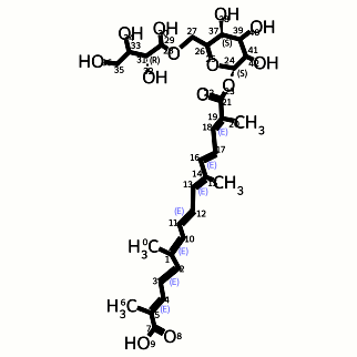 CC(/C=C/C=C(\C)C(=O)O)=C\C=C\C=C(C)\C=C\C=C(/C)C(=O)O[C@@H]1OC(COC(O)[C@H](O)C(O)CO)[C@@H](O)C(O)C1O